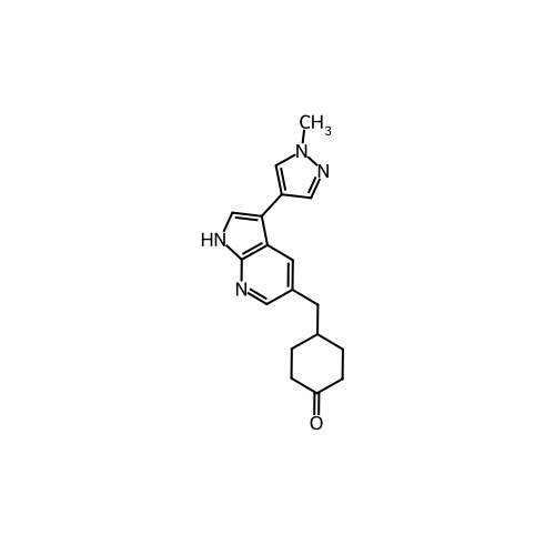 Cn1cc(-c2c[nH]c3ncc(CC4CCC(=O)CC4)cc23)cn1